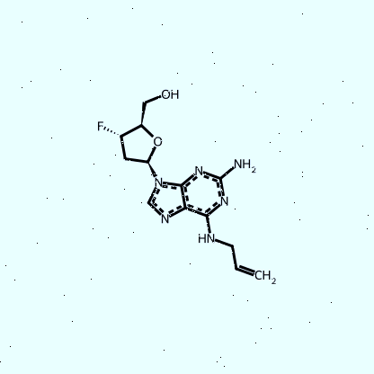 C=CCNc1nc(N)nc2c1ncn2[C@H]1C[C@H](F)[C@@H](CO)O1